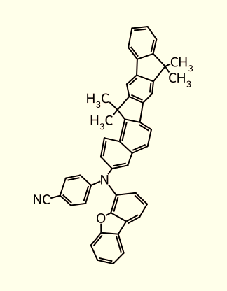 CC1(C)c2ccccc2-c2cc3c(cc21)-c1ccc2cc(N(c4ccc(C#N)cc4)c4cccc5c4oc4ccccc45)ccc2c1C3(C)C